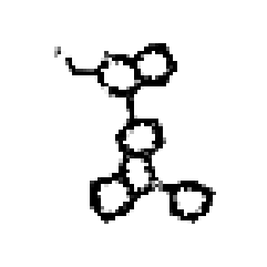 CC(C)Cc1nc(-c2ccc3c(c2)c2ccccc2n3-c2ccccc2)c2ccccc2n1